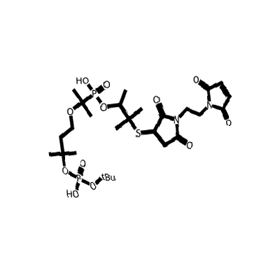 CC(OP(=O)(O)C(C)(C)OCCC(C)(C)OP(=O)(O)OC(C)(C)C)C(C)(C)SC1CC(=O)N(CCN2C(=O)C=CC2=O)C1=O